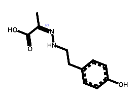 C/C(=N/NCCc1ccc(O)cc1)C(=O)O